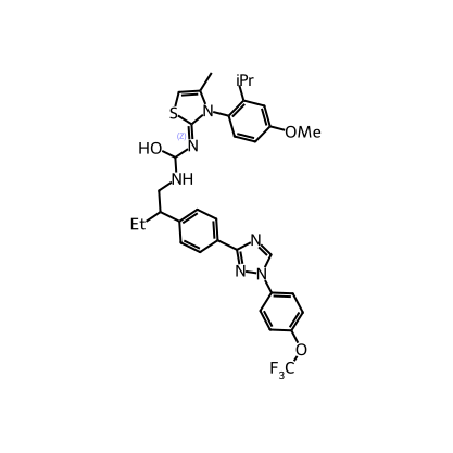 CCC(CNC(O)/N=c1\scc(C)n1-c1ccc(OC)cc1C(C)C)c1ccc(-c2ncn(-c3ccc(OC(F)(F)F)cc3)n2)cc1